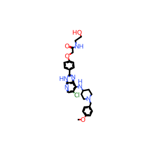 COc1ccc(CN2CCC(Nc3c(Cl)cnc4[nH]c(-c5ccc(OCC(=O)NCCO)cc5)nc34)CC2)cc1